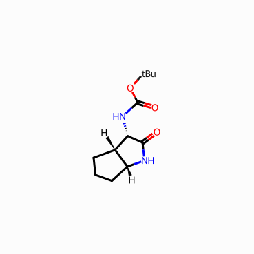 CC(C)(C)OC(=O)N[C@@H]1C(=O)N[C@@H]2CCC[C@H]12